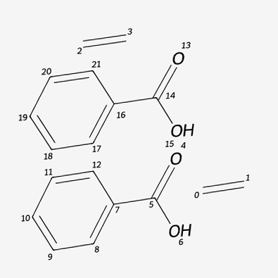 C=C.C=C.O=C(O)c1ccccc1.O=C(O)c1ccccc1